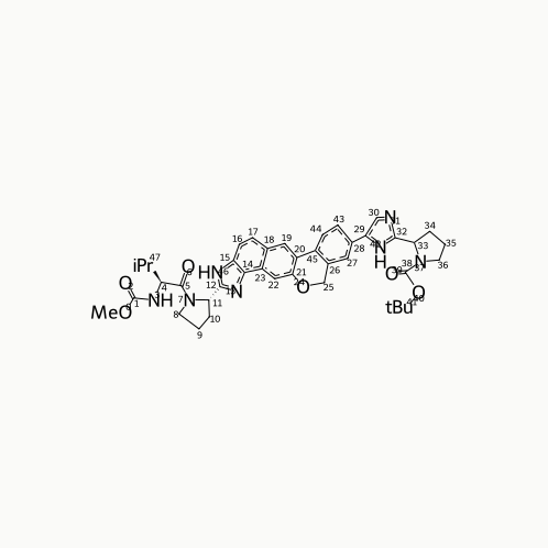 COC(=O)N[C@H](C(=O)N1CCC[C@H]1c1nc2c(ccc3cc4c(cc32)OCc2cc(-c3cnc(C5CCCN5C(=O)OC(C)(C)C)[nH]3)ccc2-4)[nH]1)C(C)C